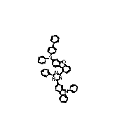 c1ccc(-c2ccc(N(c3ccccc3)c3ccc4c(c3)oc3cccc(-c5nc(-c6ccccc6)nc(-c6ccc7c8ccccc8n(-c8ccccc8)c7c6)n5)c34)cc2)cc1